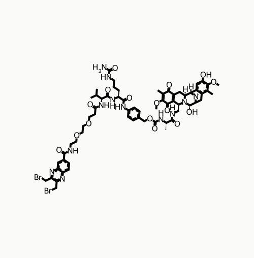 COC1=C(C)C(=O)C2=C(C1=O)[C@H](CNC(=O)[C@H](C)NC(=O)OCc1ccc(NC(=O)[C@H](CCCNC(N)=O)NC(=O)[C@@H](NC(=O)CCOCCOCCNC(=O)c3ccc4nc(CBr)c(CBr)nc4c3)C(C)C)cc1)N1[C@@H](O)C3Cc4c(cc(O)c(OC)c4C)[C@@H]([C@@H]1C2)N3C